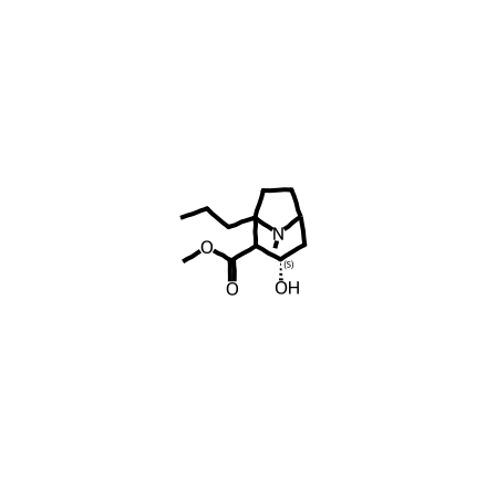 CCCC12CCC(C[C@H](O)C1C(=O)OC)N2C